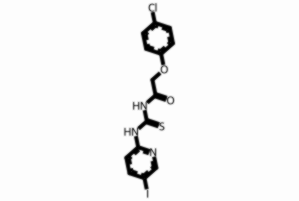 O=C(COc1ccc(Cl)cc1)NC(=S)Nc1ccc(I)cn1